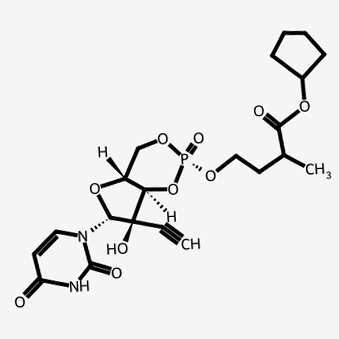 C#C[C@@]1(O)[C@@H]2O[P@@](=O)(OCCC(C)C(=O)OC3CCCC3)OC[C@H]2O[C@H]1n1ccc(=O)[nH]c1=O